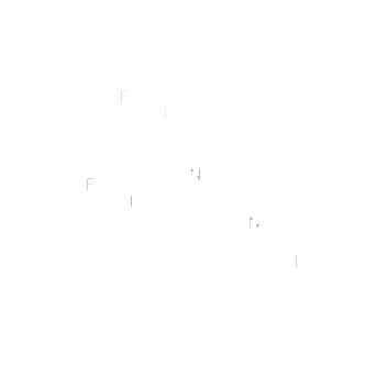 CN1C=CN(C(F)(F)C(F)(F)F)C1